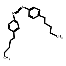 CCCCCc1ccc(N=C=Nc2ccc(CCCCC)cc2)cc1